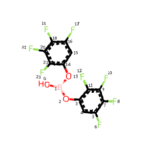 OB(Oc1cc(F)c(F)c(F)c1F)Oc1cc(F)c(F)c(F)c1F